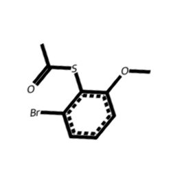 COc1cccc(Br)c1SC(C)=O